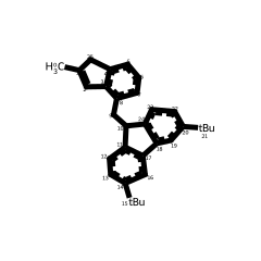 CC1=Cc2c(cccc2CC2c3ccc(C(C)(C)C)cc3-c3cc(C(C)(C)C)ccc32)C1